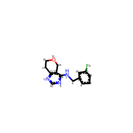 Fc1cccc(CNc2n[c]nc3c2COCC3)c1